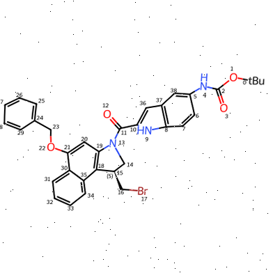 CC(C)(C)OC(=O)Nc1ccc2[nH]c(C(=O)N3C[C@@H](CBr)c4c3cc(OCc3ccccc3)c3ccccc43)cc2c1